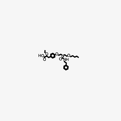 CCCCCOCCN(CCOc1ccc(CC(OCC)C(=O)O)cc1)C(=O)NCCc1ccccc1